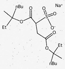 CCCCC(C)(CC)OC(=O)CC(C(=O)OC(C)(CC)CCCC)S(=O)(=O)[O-].[Na+]